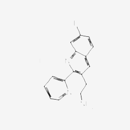 Cl.NCCc1cc2ccc(F)cc2nc1-c1ccccn1